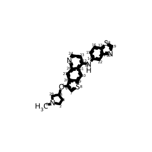 CN1CCC(Oc2csc3cc4c(Nc5ccc6scnc6c5)ccnc4cc23)C1